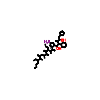 C=C(C(=C)C(CCC)C(C)C(=C)[C@H]1C[C@@H](P)CC1[C@H](O)C(C(=C)[C@H](O)CC1CCCC1)C1CCCCC1)C(C)CC(=C)C(C)C(CC)CCCC